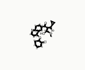 Cn1nc(C2CC2)c(C(=O)c2ccc3nccc(Oc4ccccc4Cl)c3c2)c1O